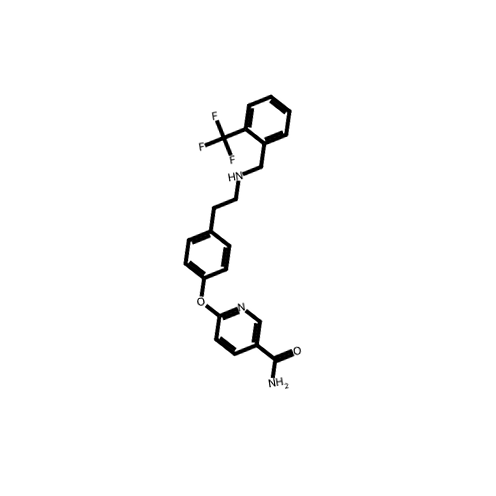 NC(=O)c1ccc(Oc2ccc(CCNCc3ccccc3C(F)(F)F)cc2)nc1